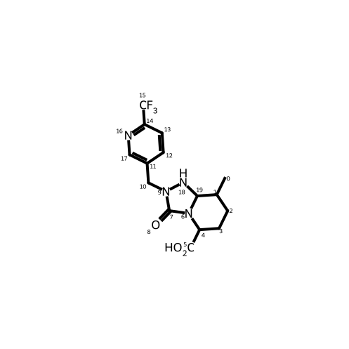 CC1CCC(C(=O)O)N2C(=O)N(Cc3ccc(C(F)(F)F)nc3)NC12